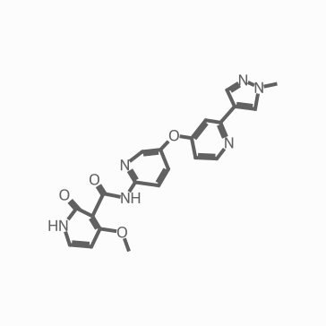 COc1cc[nH]c(=O)c1C(=O)Nc1ccc(Oc2ccnc(-c3cnn(C)c3)c2)cn1